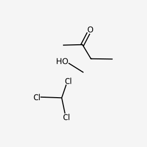 CCC(C)=O.CO.ClC(Cl)Cl